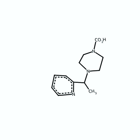 CC(c1ccccn1)N1CCN(C(=O)O)CC1